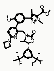 COC(=O)c1c(C)c(-c2ccc(OC)c(-c3ccc(N4CCC4)nc3CN3C(=O)O[C@H](c4cc(C(F)(F)F)cc(C(F)(F)F)c4)C3C)c2)nn1C